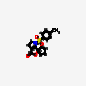 Cc1ccc(S(=O)(=O)N2CCC3=C2C2(CCCC2)OC3=O)cc1